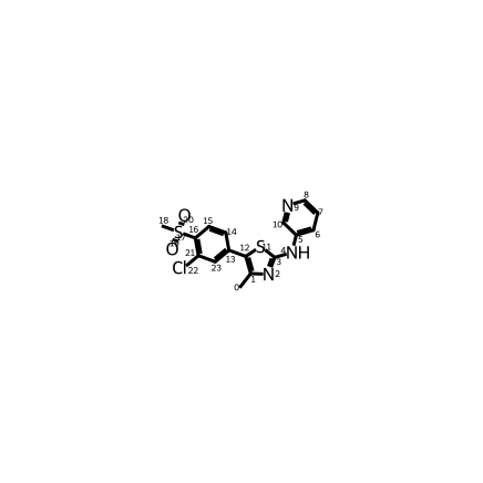 Cc1nc(Nc2cccnc2)sc1-c1ccc(S(C)(=O)=O)c(Cl)c1